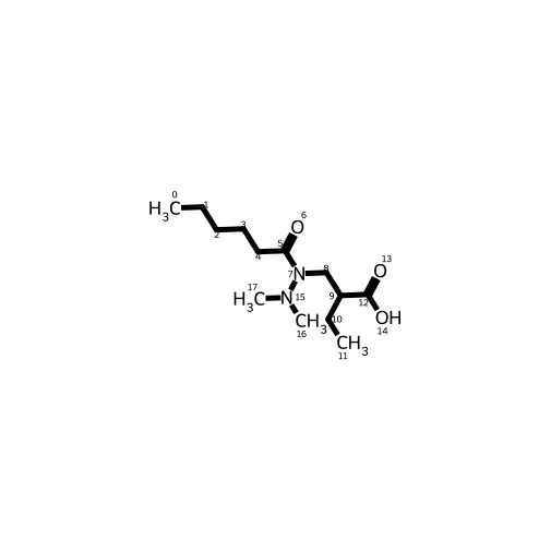 CCCCCC(=O)N(CC(CC)C(=O)O)N(C)C